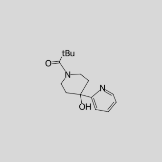 CC(C)(C)C(=O)N1CCC(O)(c2ccccn2)CC1